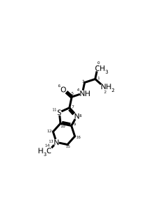 CC(N)CNC(=O)c1nc2c(s1)CN(C)CC2